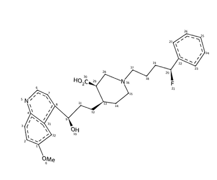 COc1ccc2nccc([C@H](O)CC[C@@H]3CCN(CCC[C@H](F)c4ccccc4)C[C@@H]3C(=O)O)c2c1